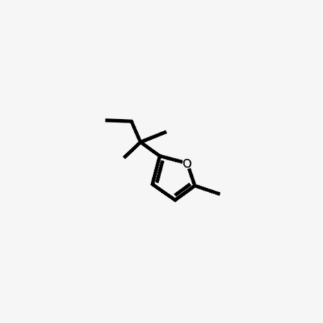 CCC(C)(C)c1ccc(C)o1